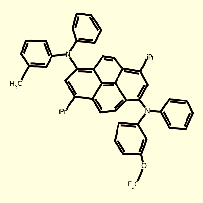 Cc1cccc(N(c2ccccc2)c2cc(C(C)C)c3ccc4c(N(c5ccccc5)c5cccc(OC(F)(F)F)c5)cc(C(C)C)c5ccc2c3c54)c1